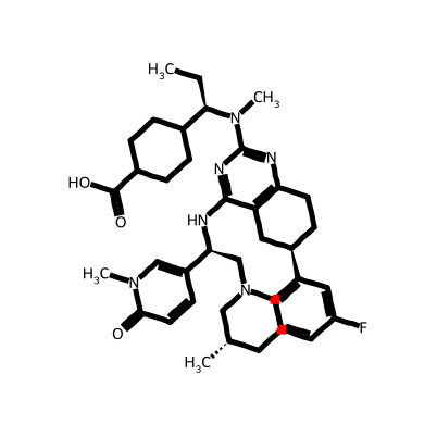 CC[C@H](C1CCC(C(=O)O)CC1)N(C)c1nc2c(c(N[C@@H](CN3CCC[C@H](C)C3)c3ccc(=O)n(C)c3)n1)C[C@H](c1cccc(F)c1)CC2